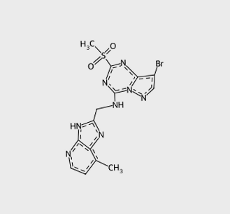 Cc1ccnc2[nH]c(CNc3nc(S(C)(=O)=O)nc4c(Br)cnn34)nc12